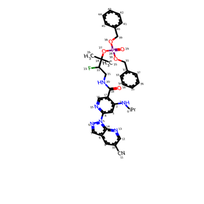 CC(C)Nc1cc(-n2ncc3cc(C#N)cnc32)ncc1C(=O)NCC(F)C(C)(C)OP(=O)(OCc1ccccc1)OCc1ccccc1